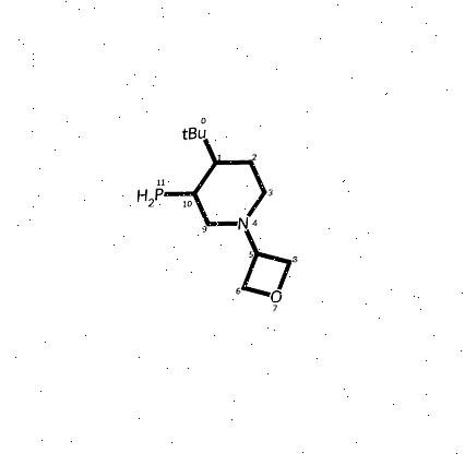 CC(C)(C)C1CCN(C2COC2)CC1P